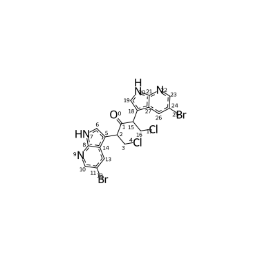 O=C(C(CCl)c1c[nH]c2ncc(Br)cc12)C(CCl)c1c[nH]c2ncc(Br)cc12